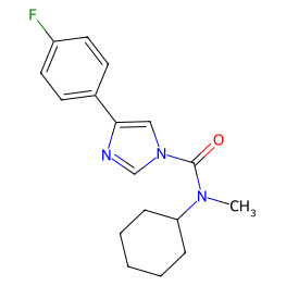 CN(C(=O)n1cnc(-c2ccc(F)cc2)c1)C1CCCCC1